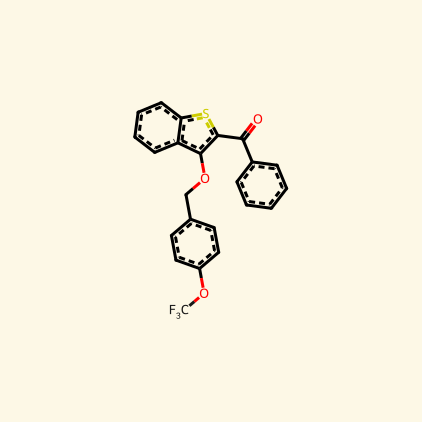 O=C(c1ccccc1)c1sc2ccccc2c1OCc1ccc(OC(F)(F)F)cc1